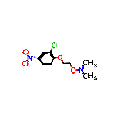 CN(C)OCCOc1ccc([N+](=O)[O-])cc1Cl